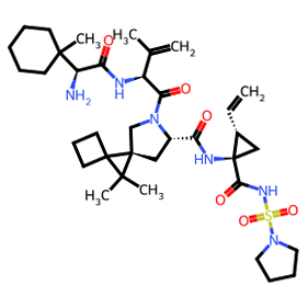 C=C[C@@H]1C[C@]1(NC(=O)[C@@H]1C[C@@]2(CN1C(=O)[C@@H](NC(=O)[C@@H](N)C1(C)CCCCC1)C(=C)C)C(C)(C)C21CCC1)C(=O)NS(=O)(=O)N1CCCC1